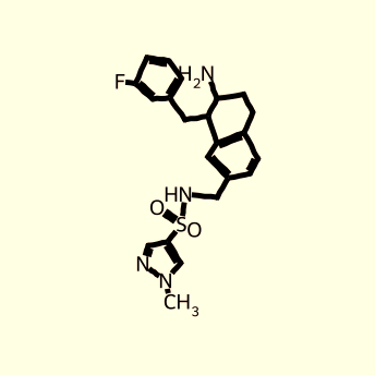 Cn1cc(S(=O)(=O)NCc2ccc3c(c2)C(Cc2cccc(F)c2)C(N)CC3)cn1